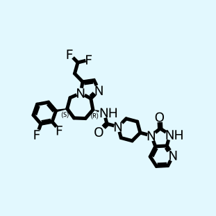 O=C(N[C@@H]1CC[C@@H](c2cccc(F)c2F)Cn2c(CC(F)F)cnc21)N1CCC(n2c(=O)[nH]c3ncccc32)CC1